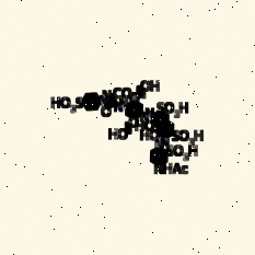 CC(=O)Nc1ccc(/N=N/c2c(S(=O)(=O)O)cc3cc(S(=O)(=O)O)c(/N=N/c4cc(OCCO)c(/N=N/C5C(=O)N(c6ccc(S(=O)(=O)O)cc6)N=C5C(=O)O)cc4OCCO)c(O)c3c2O)c(S(=O)(=O)O)c1